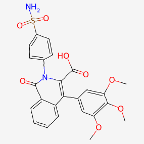 COc1cc(-c2c(C(=O)O)n(-c3ccc(S(N)(=O)=O)cc3)c(=O)c3ccccc23)cc(OC)c1OC